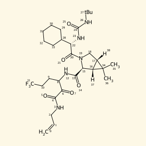 C=CCNC(=O)C(=O)C(CCC(F)(F)F)NC(=O)[C@@H]1[C@@H]2[C@H](CN1C(=O)[C@@H](NC(=O)NC(C)(C)C)C1CCCCC1)C2(C)C